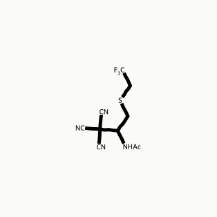 CC(=O)NC(CSCC(F)(F)F)C(C#N)(C#N)C#N